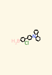 Bc1ccc(-c2ccc(-n3c4c(c5ccccc53)CCC=C4)cc2)c(Cl)c1